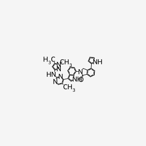 Cc1cnc(Nc2cc(C)n(C)n2)nc1-c1c[nH]c2c(N3Cc4c(cccc4-c4ccc[nH]4)C3=O)cccc12